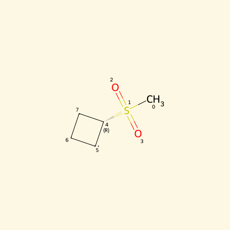 CS(=O)(=O)[C@@H]1[CH]CC1